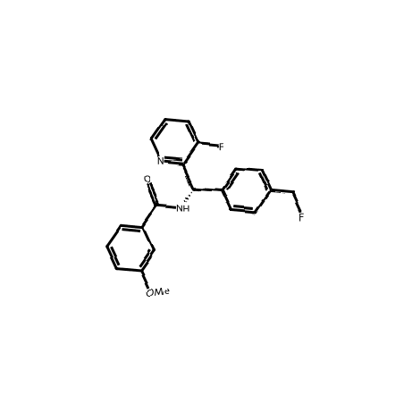 COc1cccc(C(=O)N[C@@H](c2ccc(CF)cc2)c2ncccc2F)c1